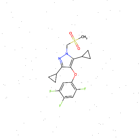 CS(=O)(=O)Cn1nc(C2CC2)c(Oc2cc(F)c(F)cc2F)c1C1CC1